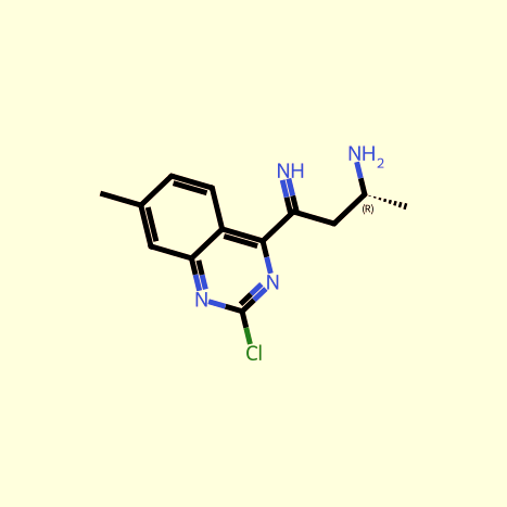 Cc1ccc2c(C(=N)C[C@@H](C)N)nc(Cl)nc2c1